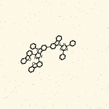 c1ccc(-c2nc(-c3ccccc3)nc(-n3c4ccccc4c4cc(-c5ccc6c(c5)c5nc(-c7cccc8c7oc7ccccc78)nc(-c7cccc8c7oc7ccccc78)c5n6-c5ccccc5)ccc43)n2)cc1